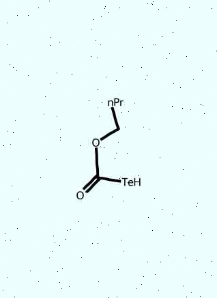 CCCCOC(=O)[TeH]